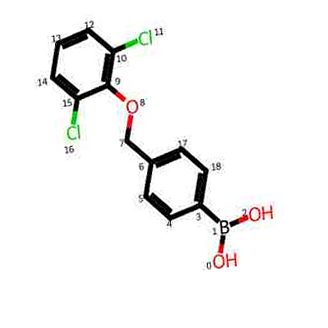 OB(O)c1ccc(COc2c(Cl)cccc2Cl)cc1